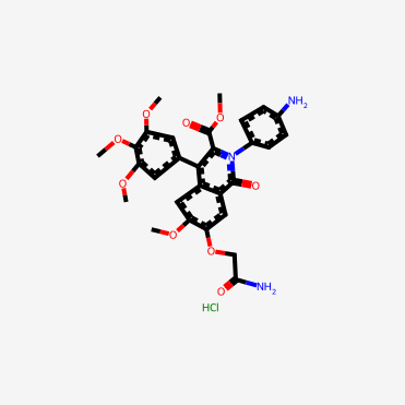 COC(=O)c1c(-c2cc(OC)c(OC)c(OC)c2)c2cc(OC)c(OCC(N)=O)cc2c(=O)n1-c1ccc(N)cc1.Cl